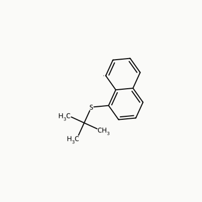 CC(C)(C)Sc1cccc2ccc[c]c12